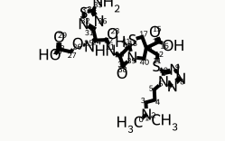 CN(C)CCCn1nnnc1SCC1(C(=O)O)CS[C@@H]2C(NC(=O)C(=NOCC(=O)O)c3nsc(N)n3)C(=O)N2C1